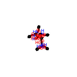 CC[C@@H]1C=C[C@@H](NC(=O)OCc2ccccc2)[C@@H](O[C@H]2[C@H](O[C@@H]3O[C@H](CO)[C@@H](O[C@H]4O[C@@H](CNC(=O)OCc5ccccc5)C=C[C@H]4NC(=O)OCc4ccccc4)[C@H]3O)[C@@H](O)[C@H](CC(=O)[C@@H](O)CCN/C(=N\C(=O)OCc3ccccc3)NC(=O)OCc3ccccc3)C[C@@H]2C)O1